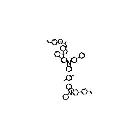 C=Cc1ccc(OCC(C)CCCCC2(C3CC=CCC3)c3cc(N(C4=CCC(c5ccccc5)C=C4)c4ccc(-c5cc(C)c(-c6ccc7c(c6)C6CC(C8=CCC(C=C)C=C8)CC=C6N7C6CC=CCC6)cc5C)cc4)ccc3C3C=CC=CC32)cc1